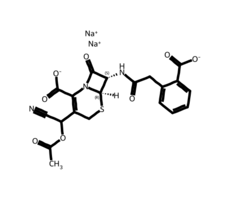 CC(=O)OC(C#N)C1=C(C(=O)[O-])N2C(=O)[C@H](NC(=O)Cc3ccccc3C(=O)[O-])[C@H]2SC1.[Na+].[Na+]